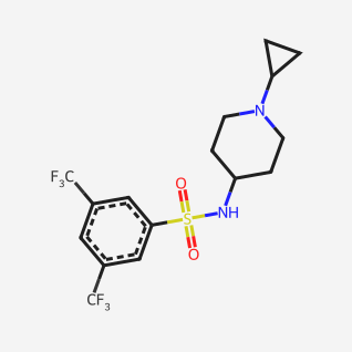 O=S(=O)(NC1CCN(C2CC2)CC1)c1cc(C(F)(F)F)cc(C(F)(F)F)c1